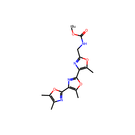 Cc1nc(-c2nc(-c3nc(CNC(=O)OC(C)(C)C)oc3C)oc2C)oc1C